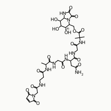 CC(NC(=O)CCNC(=O)CN1C(=O)C=CC1=O)C(=O)NCC(=O)NC(CC(N)=O)C(=O)NCC(=O)NC(C)(C)C(=O)OCC1[C@@H](O)C(O)C(O)C2NC(=O)C(=O)N21